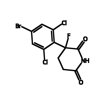 O=C1CCC(F)(c2c(Cl)cc(Br)cc2Cl)C(=O)N1